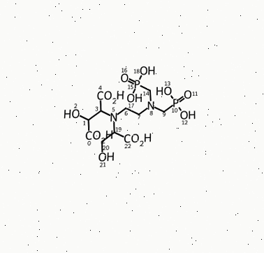 O=C(O)C(O)C(C(=O)O)N(CCN(CP(=O)(O)O)CP(=O)(O)O)C(CO)C(=O)O